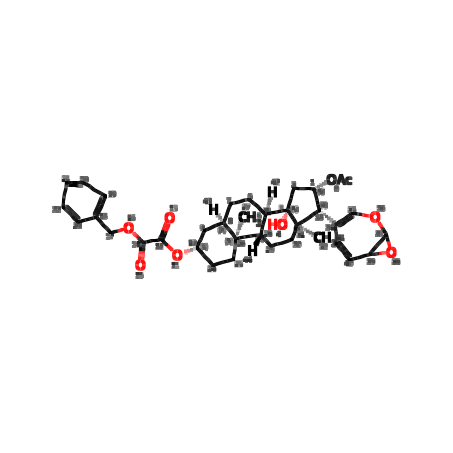 CC(=O)O[C@H]1C[C@]2(O)[C@@H]3CC[C@@H]4C[C@@H](OC(=O)C(=O)OCc5ccccc5)CC[C@]4(C)[C@H]3CC[C@]2(C)[C@H]1C1=COC2OC2C=C1